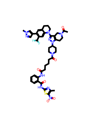 CC(=O)N1CCc2c(c(N3CCCc4cc(-c5cnn(C)c5)c(C(F)F)cc43)nn2C2CCN(C(=O)CCCCC(=O)Nc3ccccc3C(=O)Nc3nc(C)c([N+](=O)[O-])s3)CC2)C1